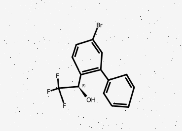 O[C@H](c1ccc(Br)cc1-c1ccccc1)C(F)(F)F